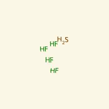 F.F.F.F.S